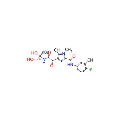 CCCC[C@](O)(CO)NC(=O)C(=O)c1cc(C(=O)Nc2ccc(F)c(C#N)c2)n(C)c1C